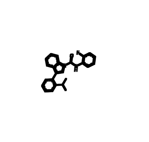 CC(C)c1ccccc1-c1cn(C(=O)Nc2ccccc2F)c2ccccc12